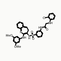 COc1cc(NC2=C(NS(=O)(=O)c3cccc(NC(=O)CNc4ccccc4Cl)c3)CC=c3ccccc3=N2)cc(OC)c1